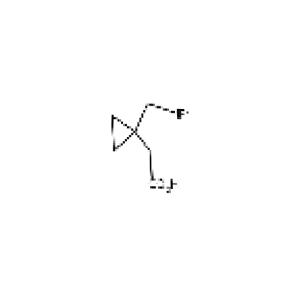 CC(C)CC1(CC(=O)O)CC1